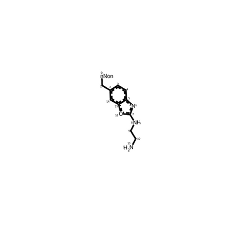 CCCCCCCCCCc1ccc2nc(NCCN)oc2c1